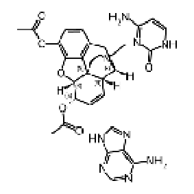 CC(=O)Oc1ccc2c3c1O[C@H]1[C@@H](OC(C)=O)C=C[C@H]4[C@@H](C2)N(C)CC[C@@]341.Nc1cc[nH]c(=O)n1.Nc1ncnc2[nH]cnc12